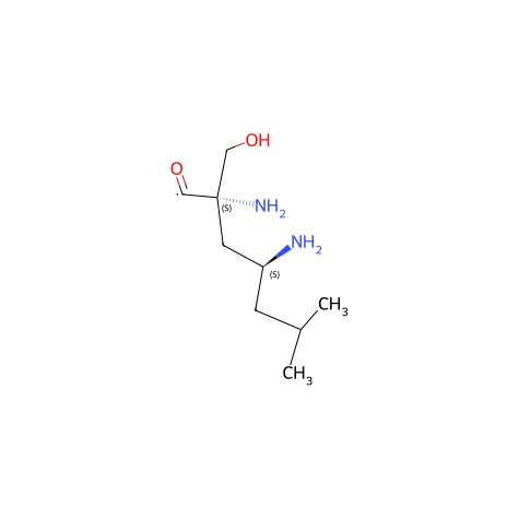 CC(C)C[C@H](N)C[C@@](N)([C]=O)CO